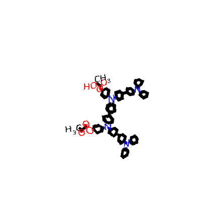 CC(=O)C(=O)OC1C=CC(N(c2ccc(-c3ccc(N(C4=CCC(OC(=O)C(C)O)C=C4)c4ccc(-c5ccc(N(c6ccccc6)c6ccccc6)cc5)cc4)cc3)cc2)c2ccc(-c3ccc(N(c4ccccc4)c4ccccc4)cc3)cc2)=CC1